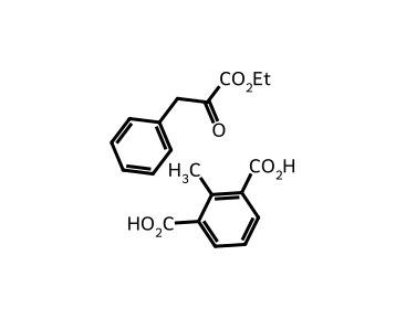 CCOC(=O)C(=O)Cc1ccccc1.Cc1c(C(=O)O)cccc1C(=O)O